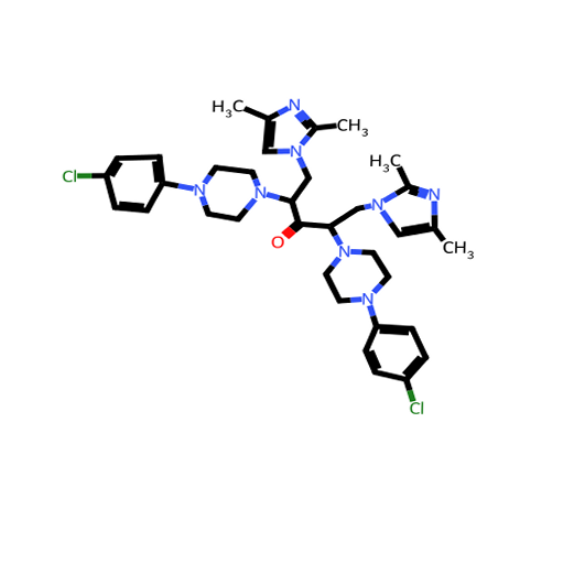 Cc1cn(CC(C(=O)C(Cn2cc(C)nc2C)N2CCN(c3ccc(Cl)cc3)CC2)N2CCN(c3ccc(Cl)cc3)CC2)c(C)n1